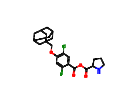 O=C(OC(=O)C1CCCN1)c1cc(Cl)c(OCC23CC4CC(CC(C4)C2)C3)cc1F